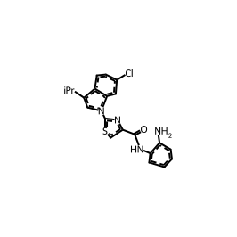 CC(C)c1cn(-c2nc(C(=O)Nc3ccccc3N)cs2)c2cc(Cl)ccc12